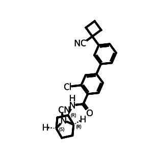 N#CN1[C@H]2CC[C@@H]1[C@H](NC(=O)c1ccc(-c3cccc(C4(C#N)CCC4)c3)cc1Cl)C2